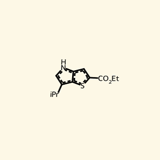 CCOC(=O)c1cc2[nH]cc(C(C)C)c2s1